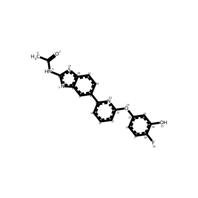 CC(=O)Nc1nc2cc(-c3cccc(Oc4ccc(F)c(O)c4)n3)ccc2s1